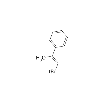 CC(=CC(C)(C)C)c1ccccc1